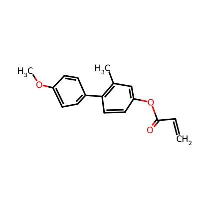 C=CC(=O)Oc1ccc(-c2ccc(OC)cc2)c(C)c1